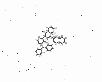 c1ccc(N(c2ccccc2)c2cccc3c2oc2c(-c4ccc5ccccc5c4)c4ccccc4cc23)cc1